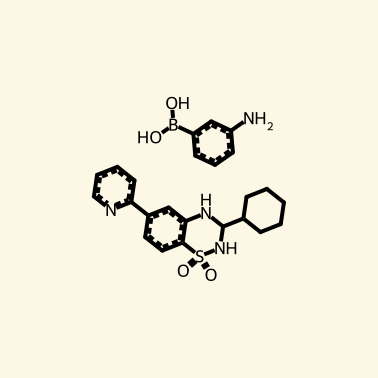 Nc1cccc(B(O)O)c1.O=S1(=O)NC(C2CCCCC2)Nc2cc(-c3ccccn3)ccc21